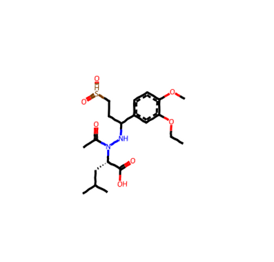 CCOc1cc(C(CC[SH](=O)=O)NN(C(C)=O)[C@@H](CC(C)C)C(=O)O)ccc1OC